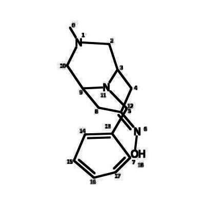 CN1CC2CC(=NO)CC(C1)N2Cc1ccccc1